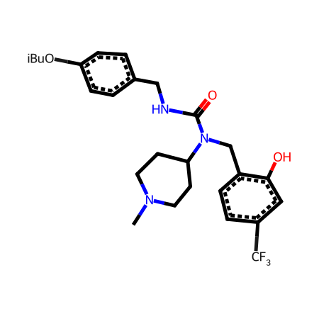 CC(C)COc1ccc(CNC(=O)N(Cc2ccc(C(F)(F)F)cc2O)C2CCN(C)CC2)cc1